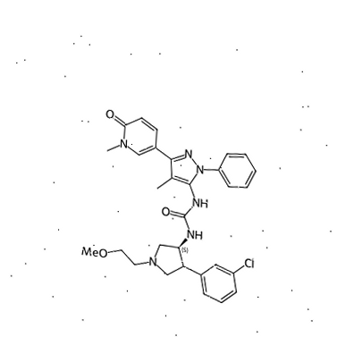 COCCN1CC(c2cccc(Cl)c2)[C@H](NC(=O)Nc2c(C)c(-c3ccc(=O)n(C)c3)nn2-c2ccccc2)C1